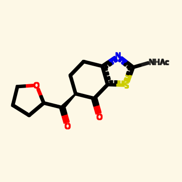 CC(=O)Nc1nc2c(s1)C(=O)[C@@H](C(=O)C1CCCO1)CC2